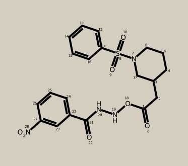 O=C(CC1CCCN(S(=O)(=O)c2ccccc2)C1)ONNC(=O)c1cccc([N+](=O)[O-])c1